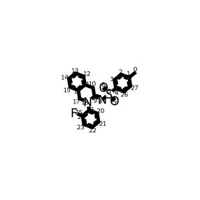 Cc1ccc(S(=O)(=O)N=C2Cc3ccccc3CN2c2ccccc2F)cc1